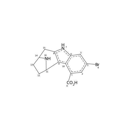 O=C(O)c1cc(Br)cc2[nH]c3c(c12)C1CCC(C3)N1